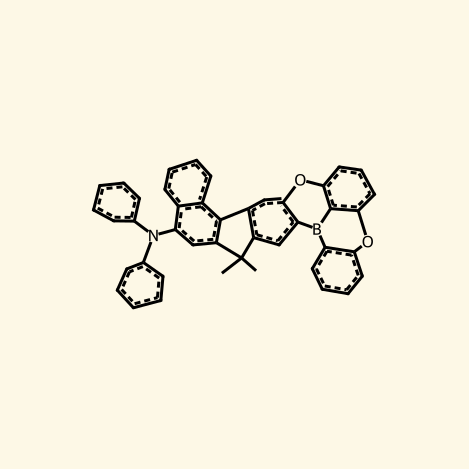 CC1(C)c2cc3c(cc2-c2c1cc(N(c1ccccc1)c1ccccc1)c1ccccc21)Oc1cccc2c1B3c1ccccc1O2